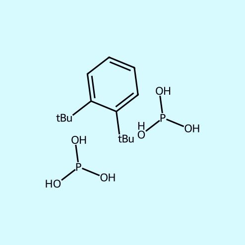 CC(C)(C)c1ccccc1C(C)(C)C.OP(O)O.OP(O)O